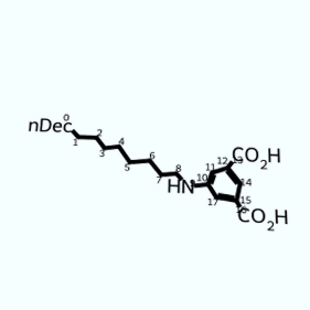 CCCCCCCCCCCCCCCCCCNc1cc(C(=O)O)cc(C(=O)O)c1